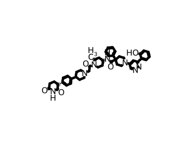 C[C@H]1C[C@H](NC(=O)C2(c3ccccc3)CCN(c3cnnc(-c4ccccc4O)c3)CC2)CCN1C(=O)CN1CCC(c2ccc([C@H]3CCC(=O)NC3=O)cc2)CC1